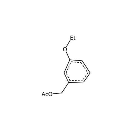 CCOc1cccc(COC(C)=O)c1